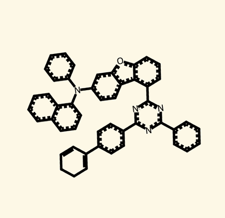 C1=CC(c2ccc(-c3nc(-c4ccccc4)nc(-c4cccc5oc6cc(N(c7ccccc7)c7cccc8ccccc78)ccc6c45)n3)cc2)=CCC1